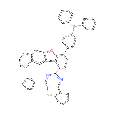 c1ccc(-c2nc(-c3ccc(-c4ccc(N(c5ccccc5)c5ccccc5)cc4)c4oc5cc6ccccc6cc5c34)nc3c2sc2ccccc23)cc1